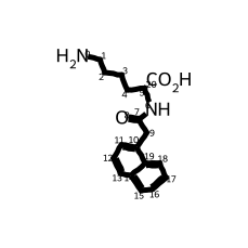 NCCCC[C@H](NC(=O)Cc1cccc2ccccc12)C(=O)O